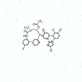 C[C@@H]1CC(OC(=O)C(F)(F)F)C[C@H](n2cnc(-c3c(-n4cc(Cl)nn4)ccc(Cl)c3F)cc2=O)c2cc(ccn2)-c2cc(F)ccc2NC1=O